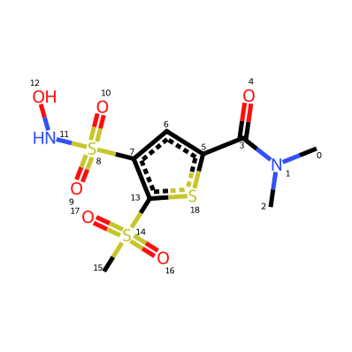 CN(C)C(=O)c1cc(S(=O)(=O)NO)c(S(C)(=O)=O)s1